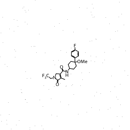 COC1(c2ccc(F)cc2)CCC(NC(=O)C2=C(C)C(=O)N(CC(F)(F)F)C2)CC1